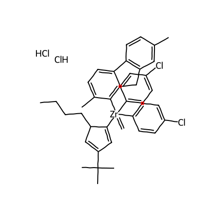 Cl.Cl.[CH2]=[Zr]([C]1=CC(C(C)(C)C)=CC1CCCC)([c]1ccc(Cl)cc1)([c]1ccc(Cl)cc1)[c]1c(C)ccc2c1Cc1cc(C)ccc1-2